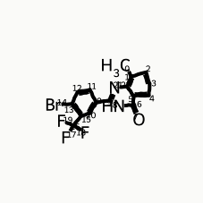 Cc1cccc2c(=O)[nH]c(-c3ccc(Br)c(C(F)(F)F)c3)nc12